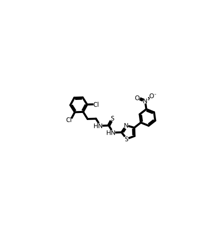 O=[N+]([O-])c1cccc(-c2csc(NC(=S)NCCc3c(Cl)cccc3Cl)n2)c1